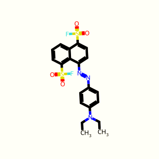 CCN(CC)c1ccc(N=Nc2ccc(S(=O)(=O)F)c3cccc(S(=O)(=O)F)c23)cc1